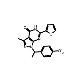 Cc1nn(C(C)c2ccc(C(F)(F)F)cc2)c2nc(-c3ccco3)[nH]c(=O)c12